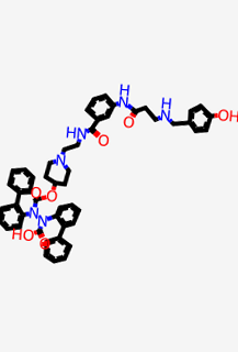 O=C(CCNCc1ccc(O)cc1)Nc1cccc(C(=O)NCCN2CCC(OC(=O)N(c3ccccc3-c3ccccc3)N(C(=O)O)c3ccccc3-c3ccccc3)CC2)c1